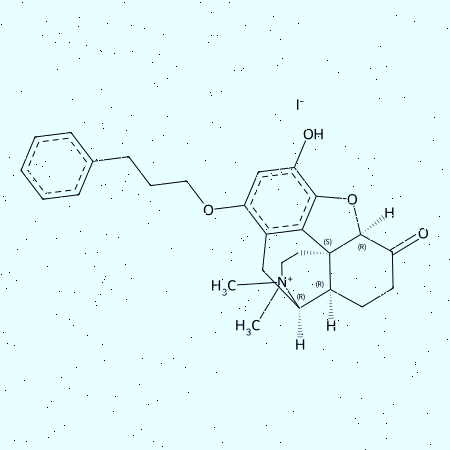 C[N+]1(C)CC[C@]23c4c5c(OCCCc6ccccc6)cc(O)c4O[C@H]2C(=O)CC[C@H]3[C@H]1C5.[I-]